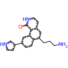 NCCCc1cc2cc[nH]c(=O)c2c2cc(-c3cc[nH]c3)ccc12